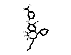 CCCCC1CN(c2ccccc2)c2cc(SC)c(Nc3cccc(C(=O)O)c3)cc2S(O)(O)N1C